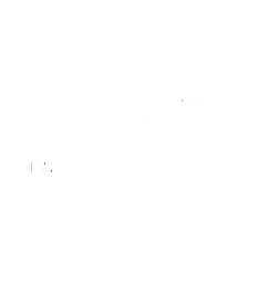 CCOC(=O)COc1ccc2cc[nH]c2c1